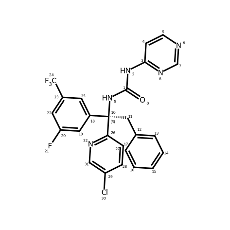 O=C(Nc1ccncn1)N[C@](Cc1ccccc1)(c1cc(F)cc(C(F)(F)F)c1)c1ccc(Cl)cn1